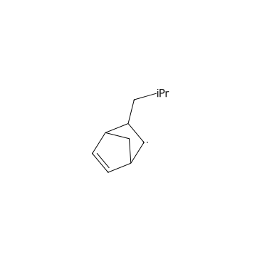 CC(C)CC1[CH]C2C=CC1C2